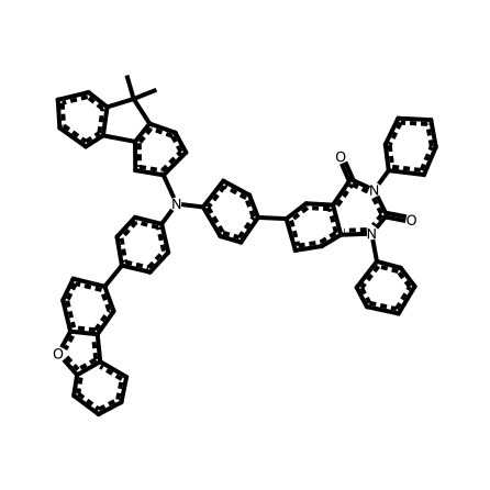 CC1(C)c2ccccc2-c2cc(N(c3ccc(-c4ccc5c(c4)c(=O)n(-c4ccccc4)c(=O)n5-c4ccccc4)cc3)c3ccc(-c4ccc5oc6ccccc6c5c4)cc3)ccc21